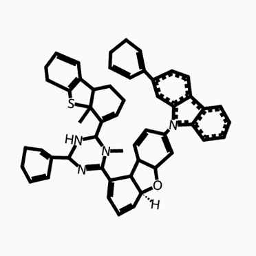 CN1C(C2=CC=C[C@@H]3OC4C=C(n5c6ccccc6c6ccc(C7=CCCC=C7)cc65)C=CC4C23)=NC(C2=CCCC=C2)NC1C1=CCCC2C3=C(CCC=C3)SC12C